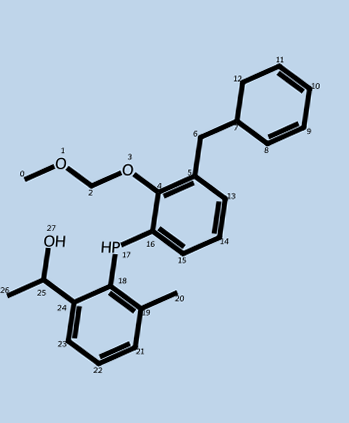 COCOc1c(CC2C=CC=CC2)cccc1Pc1c(C)cccc1C(C)O